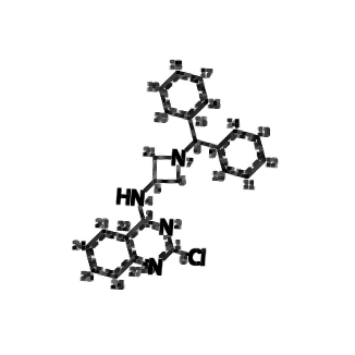 Clc1nc(NC2CN(C(c3ccccc3)c3ccccc3)C2)c2ccccc2n1